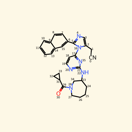 N#CCc1cnc(-c2ccc3ccccc3c2)n1-c1ccnc(NC2CCCCN(C(=O)C3CC3)C2)n1